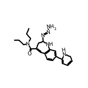 CCCN(CCC)C(=O)C1=Cc2ccc(C3=CC=CCN3)cc2NC(N=NN)C1